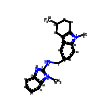 CCn1c2c(c3cc(CNc4nc5ccccc5n4C)ccc31)CC(C(F)(F)F)CC2